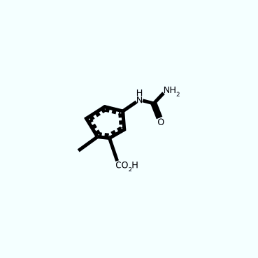 Cc1ccc(NC(N)=O)cc1C(=O)O